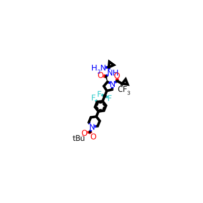 CC(C)(C)OC(=O)N1CCC(c2ccc(C(F)(F)C3C[C@@H](C(=O)NC4(N)CC4)N(C(=O)C4(C(F)(F)F)CC4)C3)c(F)c2)CC1